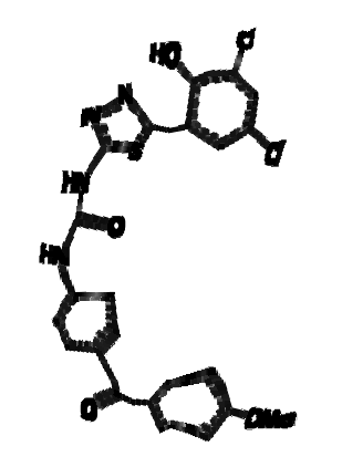 COc1ccc(C(=O)c2ccc(NC(=O)Nc3nnc(-c4cc(Cl)cc(Cl)c4O)s3)cc2)cc1